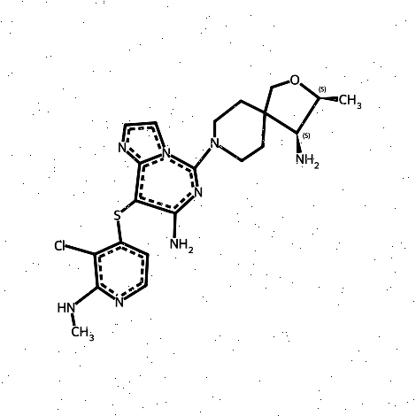 CNc1nccc(Sc2c(N)nc(N3CCC4(CC3)CO[C@@H](C)[C@H]4N)n3ccnc23)c1Cl